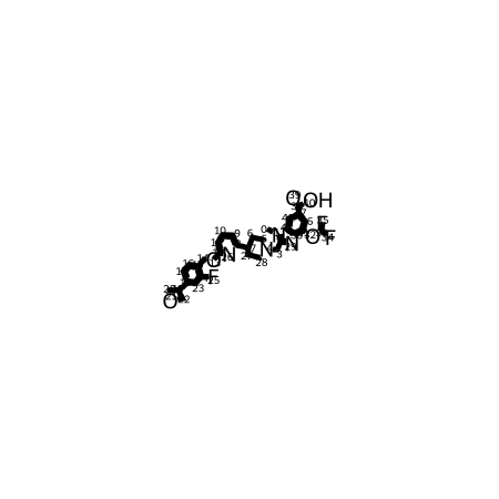 Cn1c(CN2CCC(c3cccc(OCc4ccc(C5COC5)cc4F)n3)CC2)nc2c(OC(F)F)cc(C(=O)O)cc21